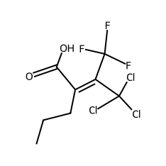 CCCC(C(=O)O)=C(C(F)(F)F)C(Cl)(Cl)Cl